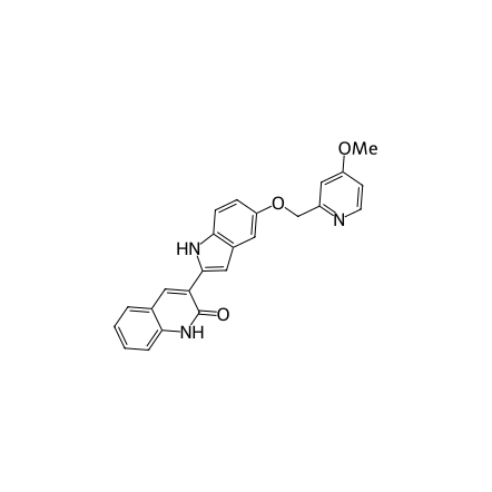 COc1ccnc(COc2ccc3[nH]c(-c4cc5ccccc5[nH]c4=O)cc3c2)c1